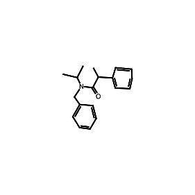 CC(C(=O)N(Cc1ccccc1)C(C)C)c1ccccc1